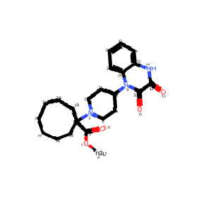 CCCCOC(=O)C1(N2CCC(n3c(=O)c(=O)[nH]c4ccccc43)CC2)CCCCCCC1